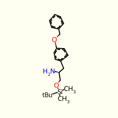 CC(C)(C)[Si](C)(C)OC[C@@H](N)Cc1ccc(OCc2ccccc2)cc1